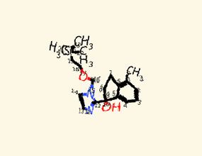 Cc1cccc2c1CCC2(O)c1nccn1COCC[Si](C)(C)C